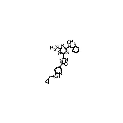 CN(c1ccccc1)c1nc(N)nc(-c2noc(-c3ccc(NCC4CC4)nc3)n2)n1